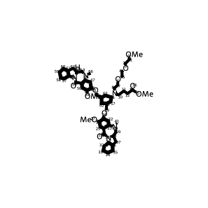 COCCOCCOCCN(CCCC(=O)OC)c1cc(COc2cc3c(cc2OC)C(=O)N2c4ccccc4CC2CN3C)cc(COc2cc3c(cc2OC)C(=O)N2c4ccccc4C[C@H]2CN3C)c1